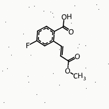 COC(=O)C=Cc1cc(F)ccc1C(=O)O